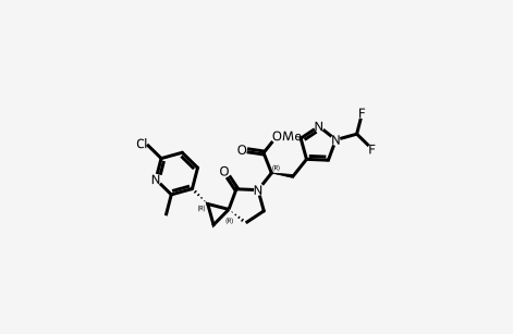 COC(=O)[C@@H](Cc1cnn(C(F)F)c1)N1CC[C@@]2(C[C@@H]2c2ccc(Cl)nc2C)C1=O